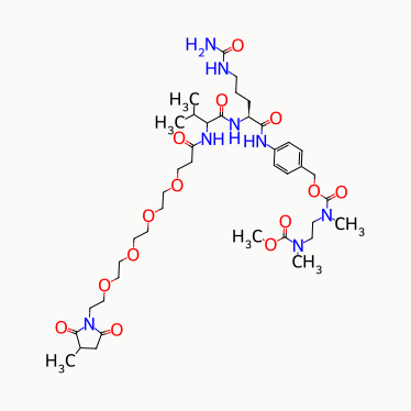 COC(=O)N(C)CCN(C)C(=O)OCc1ccc(NC(=O)[C@H](CCCNC(N)=O)NC(=O)C(NC(=O)CCOCCOCCOCCOCCN2C(=O)CC(C)C2=O)C(C)C)cc1